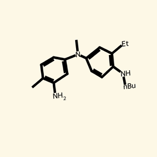 CCCCNc1ccc(N(C)c2ccc(C)c(N)c2)cc1CC